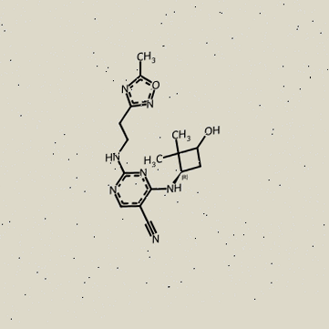 Cc1nc(CCNc2ncc(C#N)c(N[C@@H]3CC(O)C3(C)C)n2)no1